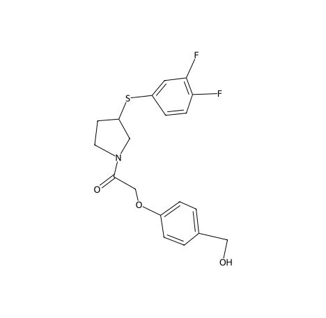 O=C(COc1ccc(CO)cc1)N1CCC(Sc2ccc(F)c(F)c2)C1